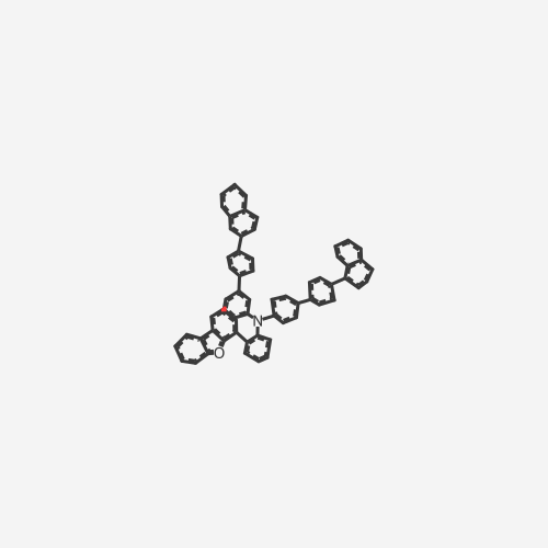 c1cc(-c2ccc(-c3ccc4ccccc4c3)cc2)cc(N(c2ccc(-c3ccc(-c4cccc5ccccc45)cc3)cc2)c2ccccc2-c2cccc3c2oc2ccccc23)c1